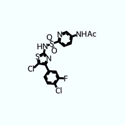 CC(=O)Nc1ccc(S(=O)(=O)Nc2nc(-c3ccc(Cl)c(F)c3)c(Cl)s2)nc1